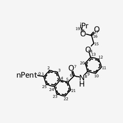 CCCCCc1ccc2c(C(=O)Nc3cccc(OCC(=O)OC(C)C)c3)cccc2c1